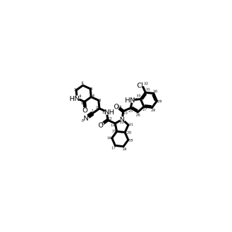 N#CC(CC1CCCNC1=O)NC(=O)C1C2CCCCC2CN1C(=O)c1cc2cccc(Cl)c2[nH]1